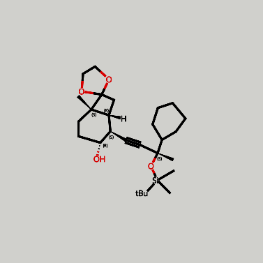 CC(C)(C)[Si](C)(C)O[C@](C)(C#C[C@H]1[C@H](O)CC[C@@]2(C)[C@@H]1CC21OCCO1)C1CCCCC1